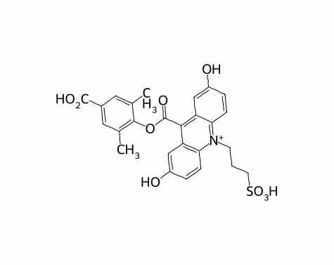 Cc1cc(C(=O)O)cc(C)c1OC(=O)c1c2cc(O)ccc2[n+](CCCS(=O)(=O)O)c2ccc(O)cc12